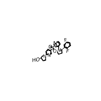 O=S(=O)(c1ccc(N2CC[C@H](O)C2)nc1)n1nccc1N1CCC[C@@H]1c1cc(F)ccc1F